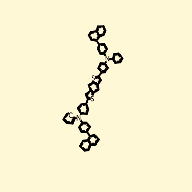 c1ccc(N(c2ccc(-c3cc4cc5sc(-c6ccc(N(c7ccccc7)c7ccc(-c8cccc9ccccc89)cc7)cc6)cc5cc4s3)cc2)c2ccc(-c3cccc4ccccc34)cc2)cc1